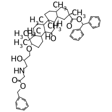 CC1(C)[C@@H](OCC(O)CNCC(=O)OCc2ccccc2)CC[C@]2(C)[C@H]3C(=O)C=C4[C@@H]5C[C@@](C)(C(=O)OC(c6ccccc6)c6ccccc6)CC[C@]5(C)CC[C@@]4(C)[C@]3(C)CC[C@@H]12